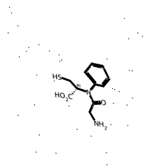 NCC(=O)N(c1ccccc1)[C@@H](CS)C(=O)O